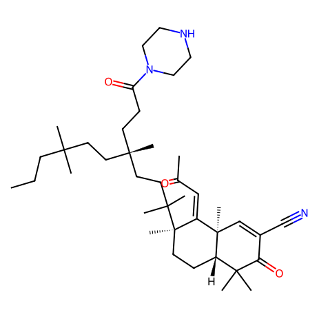 CCCC(C)(C)CC[C@](C)(CCC(=O)N1CCNCC1)CCC(C)(C)[C@]1(C)CC[C@H]2C(C)(C)C(=O)C(C#N)=C[C@]2(C)/C1=C/C(C)=O